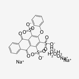 O.O.O.O=C1c2ccccc2C(=O)c2c1c(S(=O)(=O)[O-])c(Oc1ccccc1)c(S(=O)(=O)[O-])c2S(=O)(=O)[O-].[Na+].[Na+].[Na+]